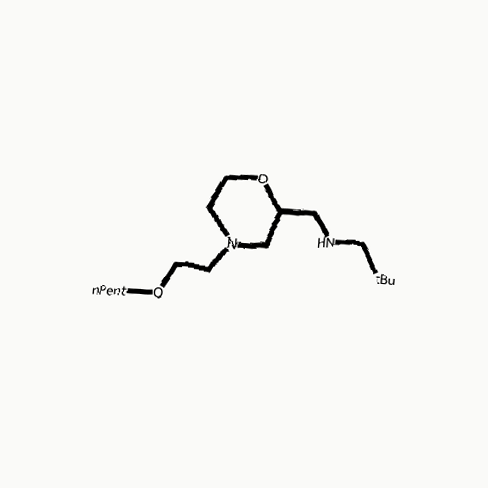 CCCCCOCCN1CCOC(CNCC(C)(C)C)C1